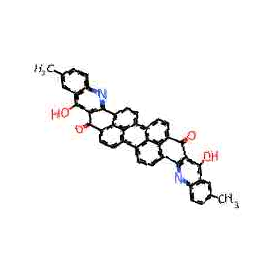 Cc1ccc2nc3c(c(O)c2c1)C(=O)c1ccc2c4ccc5c6c(ccc(c7ccc-3c1c27)c64)C(=O)c1c-5nc2ccc(C)cc2c1O